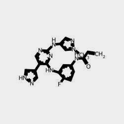 C=CC(=O)Nc1ccc(F)c(Nc2nc(Nc3cnn(C)c3)ncc2-c2cn[nH]c2)c1